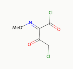 CON=C(C(=O)Cl)C(=O)CCl